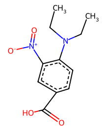 CCN(CC)c1ccc(C(=O)O)cc1[N+](=O)[O-]